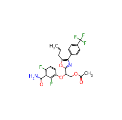 C=CCc1oc(C(COC(C)=O)Oc2ccc(F)c(C(N)=O)c2F)nc1-c1ccc(C(F)(F)F)cc1